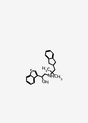 CC(C)(CC1Cc2ccccc2C1)NCC(O)c1csc2ccccc12